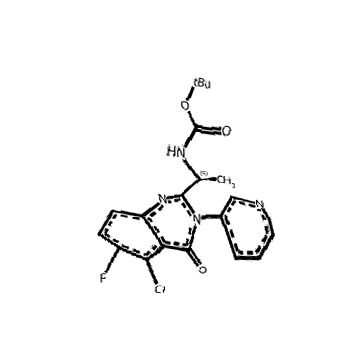 C[C@H](NC(=O)OC(C)(C)C)c1nc2ccc(F)c(Cl)c2c(=O)n1-c1cccnc1